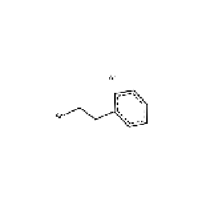 CC(=O)CCc1ccccc1.[Ar]